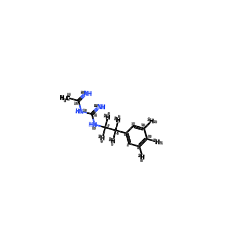 [2H]c1cc(C([2H])([2H])C([2H])([2H])NC(=N)NC(C)=N)cc([2H])c1[2H]